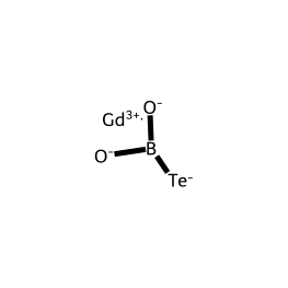 [Gd+3].[O-]B([O-])[Te-]